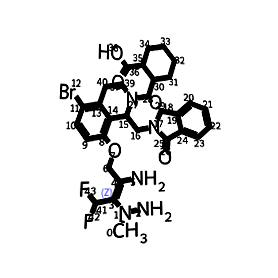 CN(N)/C(=C(\N)COc1ccc(Br)c2c1C(CN1Cc3ccccc3C1=O)N(C(=O)C1CCCCC1C(=O)O)CC2)C(F)F